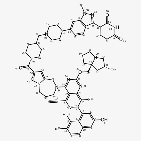 C#Cc1nc(-c2cc(O)cc3ccc(F)c(CC)c23)c(F)c2nc(OC[C@@]34CCCN3C[C@H](F)C4)nc(N3CCCn4nc(C(=O)N5CCC(CN6CCC(c7ccc8c(C9CCC(=O)NC9=O)nn(C)c8c7)CC6)CC5)cc4C3)c12